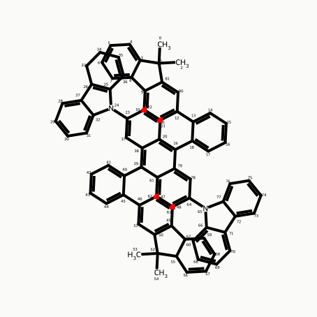 CC1(C)c2ccccc2-c2ccc(-c3ccccc3-c3c4ccc(-n5c6c(c7ccccc75)CCC=C6)cc4c(-c4ccccc4-c4ccc5c(c4)C(C)(C)C4C=CC=CC54)c4ccc(-n5c6ccccc6c6ccccc65)cc34)cc21